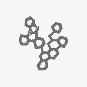 c1ccc(CC2Cc3c(ccc4c3c(-c3ccc5c(c3)c3ccccc3n3c6ccccc6nc53)cc3ccccc34)-c3ccccc32)cc1